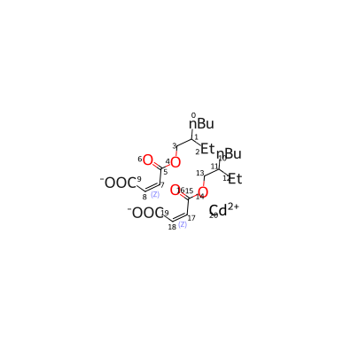 CCCCC(CC)COC(=O)/C=C\C(=O)[O-].CCCCC(CC)COC(=O)/C=C\C(=O)[O-].[Cd+2]